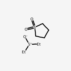 CC[S+]([O-])CC.O=S1(=O)CCCC1